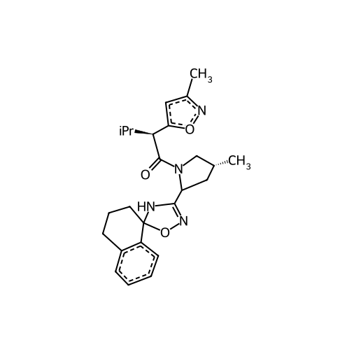 Cc1cc([C@@H](C(=O)N2C[C@H](C)CC2C2=NOC3(CCCc4ccccc43)N2)C(C)C)on1